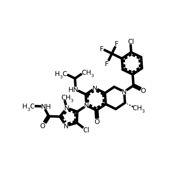 CNC(=O)c1nc(Cl)c(-n2c(NC(C)C)nc3c(c2=O)C[C@@H](C)N(C(=O)c2ccc(Cl)c(C(F)(F)F)c2)C3)n1C